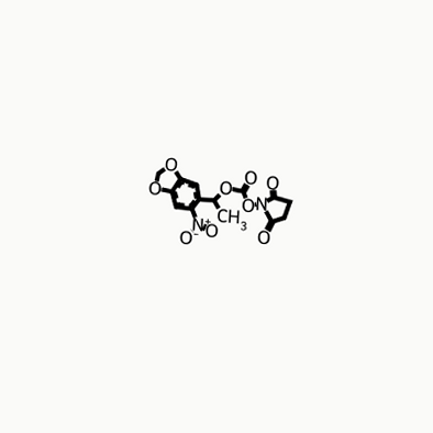 CC(OC(=O)ON1C(=O)CCC1=O)c1cc2c(cc1[N+](=O)[O-])OCO2